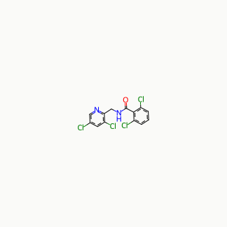 O=C(NCc1ncc(Cl)cc1Cl)c1c(Cl)cccc1Cl